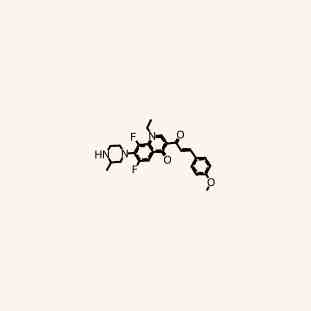 CCn1cc(C(=O)C=Cc2ccc(OC)cc2)c(=O)c2cc(F)c(N3CCNC(C)C3)c(F)c21